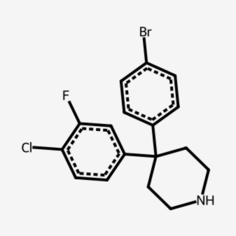 Fc1cc(C2(c3ccc(Br)cc3)CCNCC2)ccc1Cl